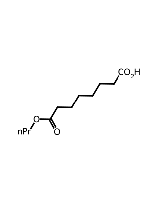 CCCOC(=O)CCCCCCC(=O)O